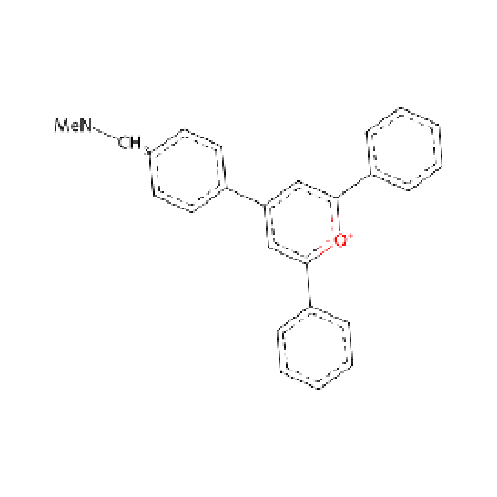 CNC.c1ccc(-c2cc(-c3ccccc3)[o+]c(-c3ccccc3)c2)cc1